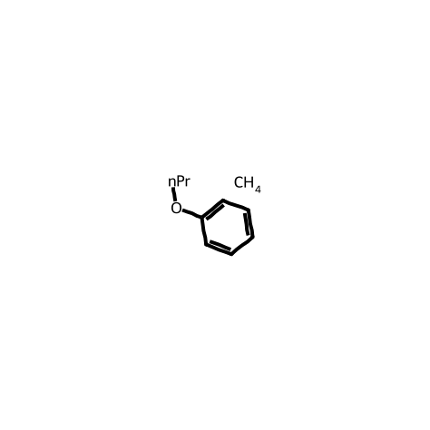 C.CCCOc1ccccc1